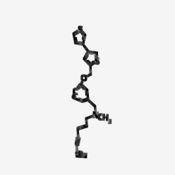 CN(C/C=C/C#CC(C)(C)C)Cc1cccc(OCc2cc(-c3ccsc3)cs2)c1